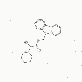 O=C(OCC1c2ccccc2-c2ccccc21)N(O)C1CC[CH]CC1